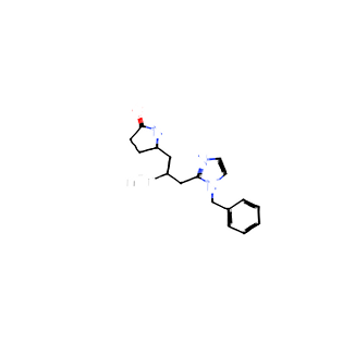 CCCC(Cc1nccn1Cc1ccccc1)CC1CCC(=O)N1